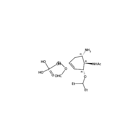 CCC(CC)O[C@@H]1C=CC[C@H](N)[C@H]1NC(C)=O.CCOC=O.O=P(O)(O)O